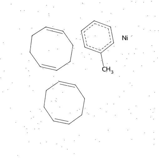 C1=CCCC=CCC1.C1=CCCC=CCC1.Cc1ccccc1.[Ni]